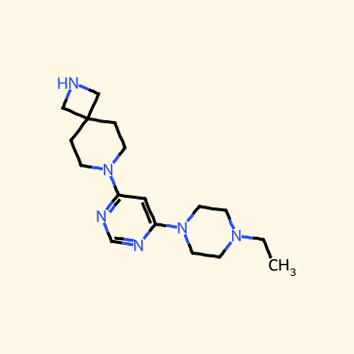 CCN1CCN(c2cc(N3CCC4(CC3)CNC4)ncn2)CC1